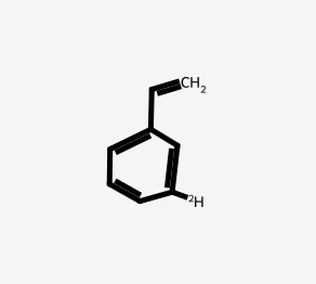 [2H]c1cccc(C=C)c1